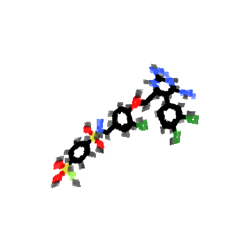 Nc1nc(N)c(-c2ccc(Cl)c(Cl)c2)c(COc2ccc(CNS(=O)(=O)c3ccc(S(=O)(=O)F)cc3)cc2Cl)n1